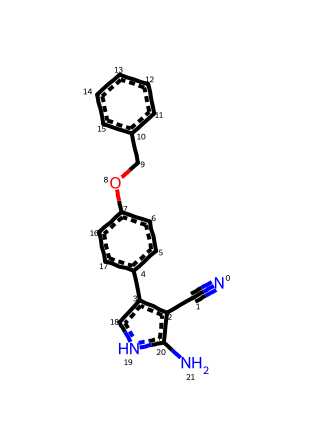 N#Cc1c(-c2ccc(OCc3ccccc3)cc2)c[nH]c1N